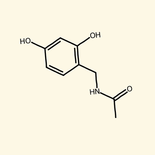 CC(=O)NCc1ccc(O)cc1O